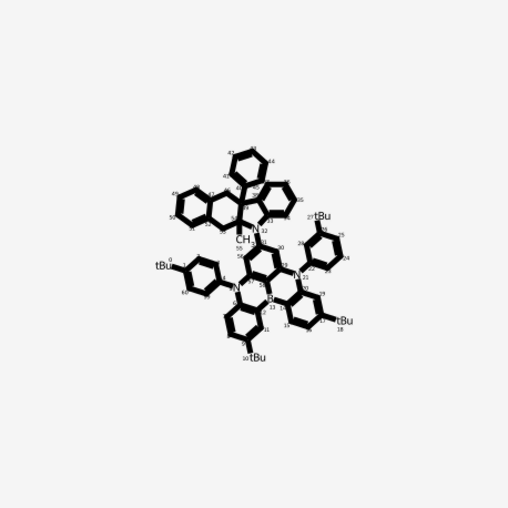 CC(C)(C)c1ccc(N2c3ccc(C(C)(C)C)cc3B3c4ccc(C(C)(C)C)cc4N(c4cccc(C(C)(C)C)c4)c4cc(N5c6ccccc6C6(c7ccccc7)Cc7ccccc7CC56C)cc2c43)cc1